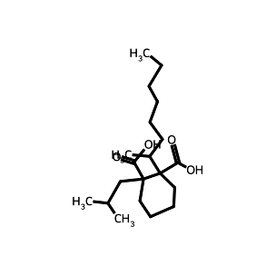 CCCCCCC(C)C1(C(=O)O)CCCCC1(CC(C)C)C(=O)O